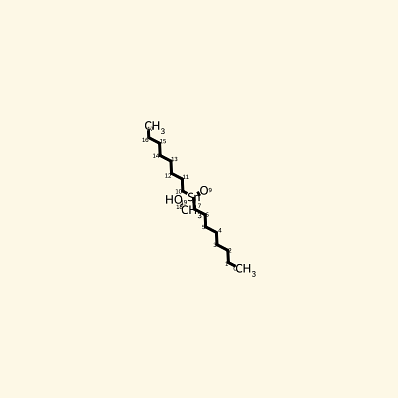 CCCCCCC[CH2][Sn](=[O])[CH2]CCCCCCC.CO